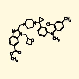 COC(=O)c1ccc2nc(CN3CCN(C4(c5cccc(N(C)c6ccc(C)cc6Cl)c5)CC4)CC3)n(CC3CCO3)c2c1